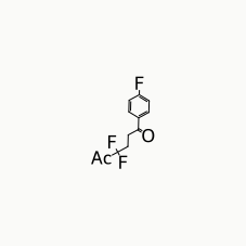 CC(=O)C(F)(F)CCC(=O)c1ccc(F)cc1